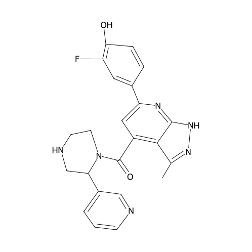 Cc1n[nH]c2nc(-c3ccc(O)c(F)c3)cc(C(=O)N3CCNCC3c3cccnc3)c12